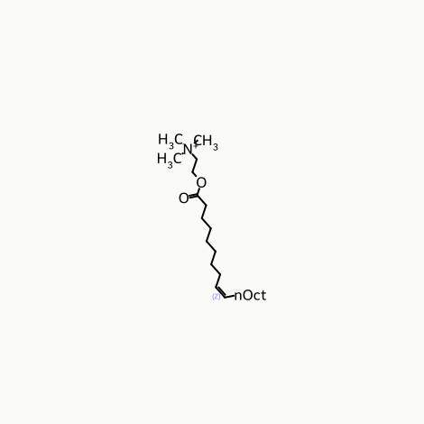 CCCCCCCC/C=C\CCCCCCCC(=O)OCC[N+](C)(C)C